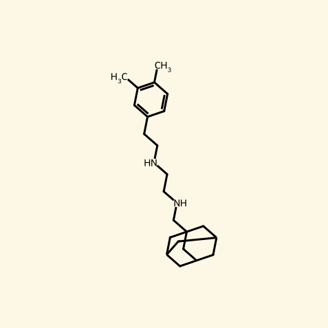 Cc1ccc(CCNCCNCC23CC4CC(CC(C4)C2)C3)cc1C